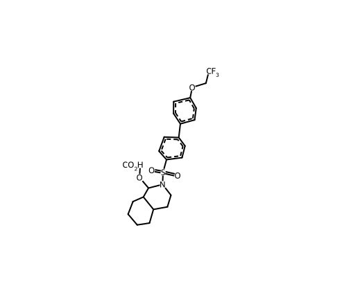 O=C(O)OC1C2CCCCC2CCN1S(=O)(=O)c1ccc(-c2ccc(OCC(F)(F)F)cc2)cc1